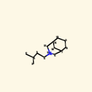 CC(C)CCN1CC2CCCC(C2)C1